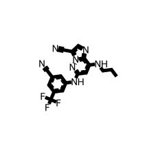 CCCNc1cc(Nc2cc(C#N)cc(C(F)(F)F)c2)nn2c(C#N)cnc12